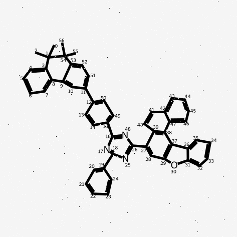 CC1(C)c2ccccc2-c2cc(-c3ccc(-c4nc(-c5ccccc5)nc(-c5cc6oc7ccccc7c6c6c5ccc5ccccc56)n4)cc3)ccc2C1(C)C